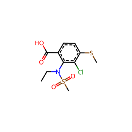 CCN(c1c(C(=O)O)ccc(SC)c1Cl)S(C)(=O)=O